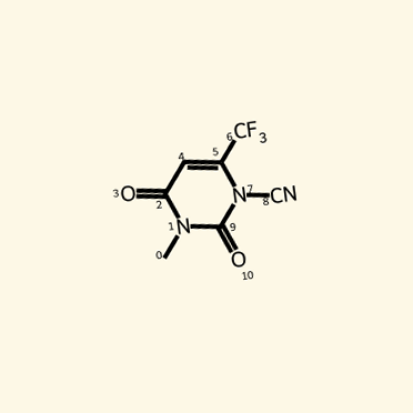 Cn1c(=O)cc(C(F)(F)F)n(C#N)c1=O